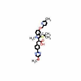 COc1cnc(-c2ccc(CC(C(=O)O)c3c(SC(C)(C)C)c4cc(OCc5ccc(C)cn5)ccc4n3C)cc2)nc1